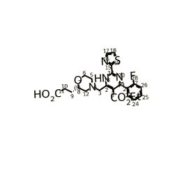 CCOC(=O)C1=C(CN2CCO[C@@H](CCC(=O)O)C2)NC(c2nccs2)=N[C@H]1c1ccccc1F